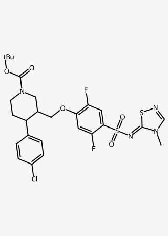 Cn1cnsc1=NS(=O)(=O)c1cc(F)c(OCC2CN(C(=O)OC(C)(C)C)CCC2c2ccc(Cl)cc2)cc1F